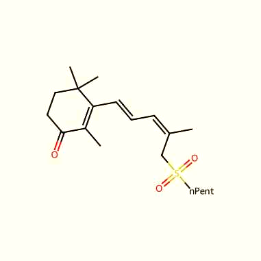 CCCCCS(=O)(=O)CC(C)=CC=CC1=C(C)C(=O)CCC1(C)C